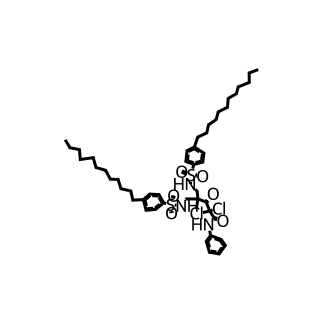 CCCCCCCCCCCCc1ccc(S(=O)(=O)NCC(C)(CNS(=O)(=O)c2ccc(CCCCCCCCCCCC)cc2)C(=O)C(Cl)(Cl)C(=O)Nc2ccccc2)cc1